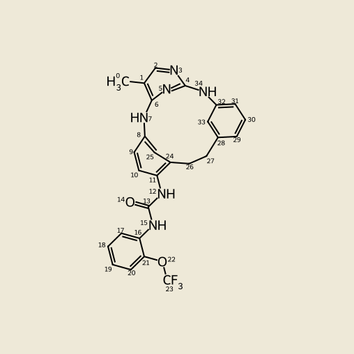 Cc1cnc2nc1Nc1ccc(NC(=O)Nc3ccccc3OC(F)(F)F)c(c1)CCc1cccc(c1)N2